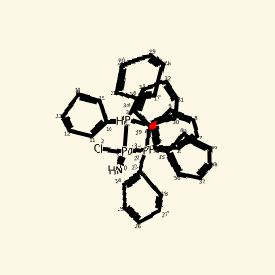 [NH]=[Pd-3]([Cl])([PH](c1ccccc1)(c1ccccc1)c1ccccc1)[PH](c1ccccc1)(c1ccccc1)c1ccccc1